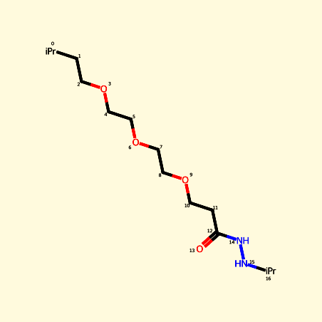 CC(C)CCOCCOCCOCCC(=O)NNC(C)C